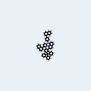 c1ccc(C2(c3ccccc3)c3ccccc3-c3c(-c4ccc5cccc(N(c6ccc(-c7cccc8ccccc78)cc6)c6ccc(-c7cccc8ccccc78)cc6)c5c4)cccc32)cc1